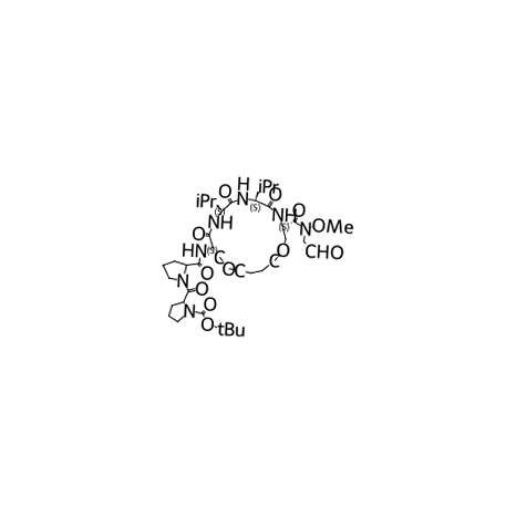 CON(CC=O)C(=O)[C@@H]1COCCCCOC[C@H](NC(=O)C2CCCN2C(=O)C2CCCN2C(=O)OC(C)(C)C)C(=O)N[C@@H](C(C)C)C(=O)N[C@@H](C(C)C)C(=O)N1